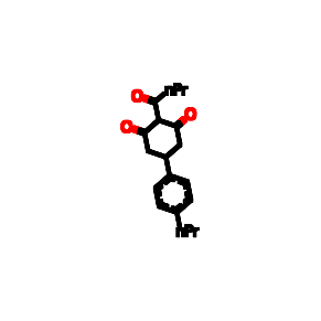 CCCC(=O)C1C(=O)CC(c2ccc(CCC)cc2)CC1=O